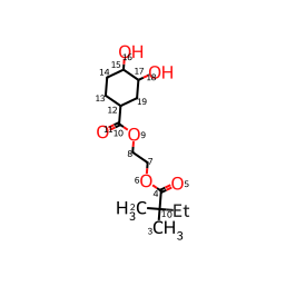 CCC(C)(C)C(=O)OCCOC(=O)C1CCC(O)C(O)C1